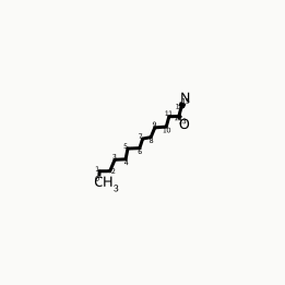 CCCCCCCCCCCCC(=O)C#N